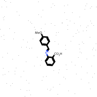 COc1ccc(/C=N/c2ccccc2C(=O)O)cc1